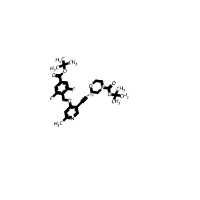 Cc1cc(OCc2c(F)cc(C(=O)OC(C)(C)C)cc2F)c(C#C[C@H]2CN(C(=O)OC(C)(C)C)CCO2)cn1